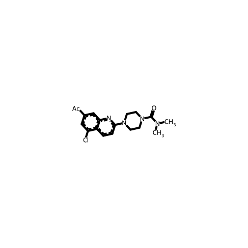 CC(=O)c1cc(Cl)c2ccc(N3CCN(C(=O)N(C)C)CC3)nc2c1